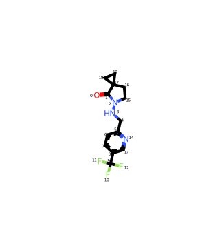 O=C1N(NCc2ccc(C(F)(F)F)cn2)CCC12CC2